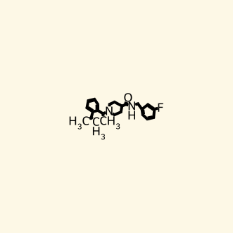 CC(C)c1ccccc1C(C)N1CCC(C(=O)NCc2cccc(F)c2)CC1